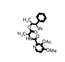 COc1ccnc(C(=O)N[C@@H](C)C(=O)O[C@@H](C)[C@@H](c2ccccc2)C(C)C)c1OC(C)=O